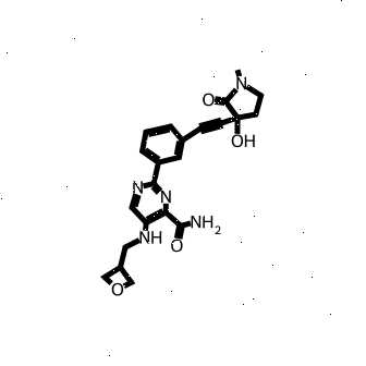 CN1CCC(O)(C#Cc2cccc(-c3ncc(NCC4COC4)c(C(N)=O)n3)c2)C1=O